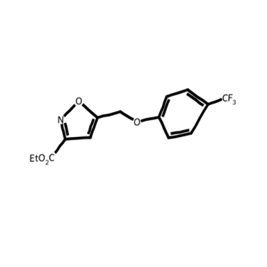 CCOC(=O)c1cc(COc2ccc(C(F)(F)F)cc2)on1